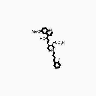 COc1ccc2nccc([C@@H](O)CC[C@@H]3CCN(CCCCc4ccccc4F)C[C@@H]3CC(=O)O)c2c1